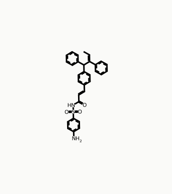 CC=C(c1ccccc1)C(c1ccccc1)c1ccc(C=CC(=O)NS(=O)(=O)c2ccc(N)cc2)cc1